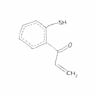 C=CC(=O)c1ccccc1S